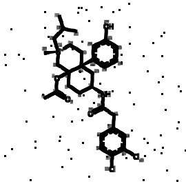 CC(=O)OC12CC[C@H](NC(=O)Cc3ccc(Cl)c(Cl)c3)C[C@@]1(c1cccc(O)c1)CC[N@@+](C)(CC(C)C)C2